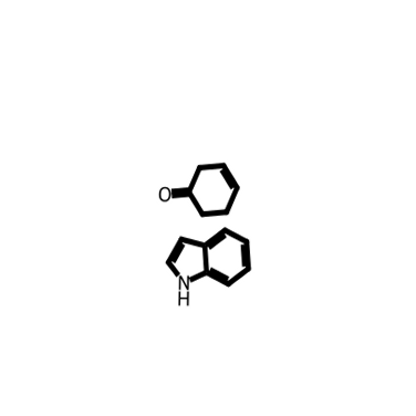 O=C1CC=CCC1.c1ccc2[nH]ccc2c1